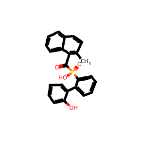 Cc1ccc2ccccc2c1C(=O)P(=O)(O)c1ccccc1-c1ccccc1O